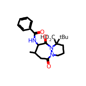 CC1CC(=O)N2CCCC(C(=O)O)(C(C)(C)C)N2C(=O)C1NC(=O)c1ccccc1